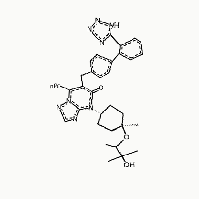 CCCc1c(Cc2ccc(-c3ccccc3-c3nnn[nH]3)cc2)c(=O)n([C@H]2CC[C@](C)(OC(C)C(C)(C)O)CC2)c2ncnn12